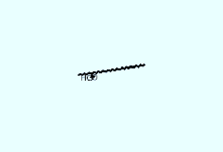 CCCCCCCCCCCCCCCCCCCCCCCC(CCCCCC)C(=O)O